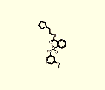 COc1cncc(NS(=O)(=O)c2ccccc2C(=O)NCCN2CCCC2)c1